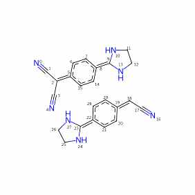 N#CC(C#N)=c1ccc(=C2NCCN2)cc1.N#CC=c1ccc(=C2NCCN2)cc1